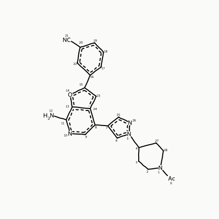 CC(=O)N1CCC(n2cc(-c3cnc(N)c4oc(-c5cccc(C#N)c5)cc34)cn2)CC1